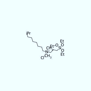 CCO[Si](CCC[N+](C)(C)CCCCCCCC(C)C)(OCC)OCC.[Cl-]